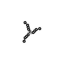 c1ccc(-c2ccc3cc4cc(OP(Oc5ccc6cc7cc(-c8ccccc8)ccc7cc6c5)Oc5ccc6cc7cc(-c8ccccc8)ccc7cc6c5)ccc4cc3c2)cc1